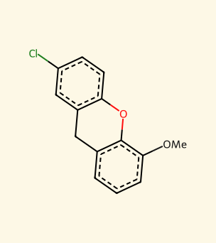 COc1cccc2c1Oc1ccc(Cl)cc1C2